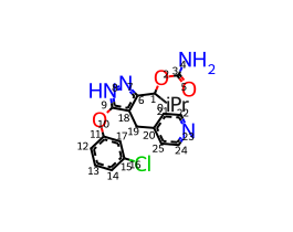 CC(C)C(OC(N)=O)c1n[nH]c(Oc2cccc(Cl)c2)c1Cc1ccncc1